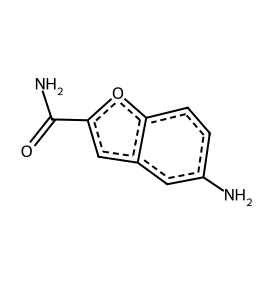 NC(=O)c1cc2cc(N)ccc2o1